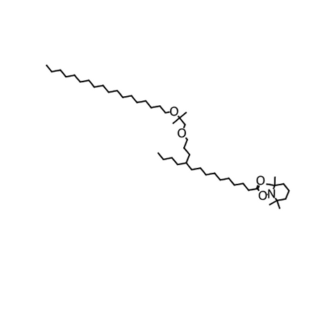 CCCCCCCCCCCCCCCCCCOC(C)(C)COCCCC(CCCC)CCCCCCCCCC(=O)ON1C(C)(C)CCCC1(C)C